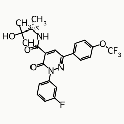 C[C@H](NC(=O)c1cc(-c2ccc(OC(F)(F)F)cc2)nn(-c2cccc(F)c2)c1=O)C(C)(C)O